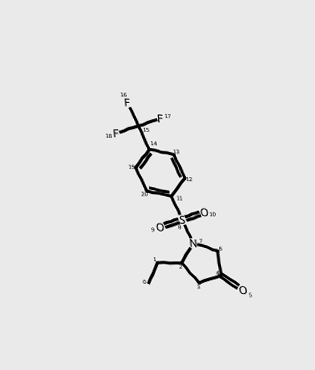 CCC1CC(=O)CN1S(=O)(=O)c1ccc(C(F)(F)F)cc1